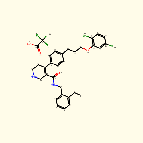 CCc1ccccc1CNC(=O)C1=C(c2ccc(CCCOc3cc(F)ccc3Br)cc2)CCNC1.O=C(O)C(F)(F)F